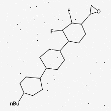 CCCCC1CCC(C2CCC(C3CCC(C4CO4)C(F)C3F)CC2)CC1